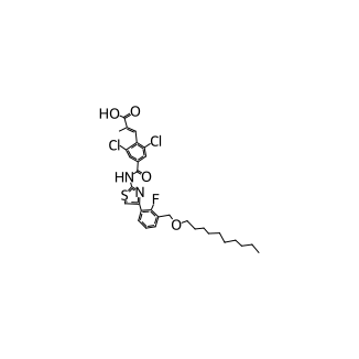 CCCCCCCCCCOCc1cccc(-c2csc(NC(=O)c3cc(Cl)c(C=C(C)C(=O)O)c(Cl)c3)n2)c1F